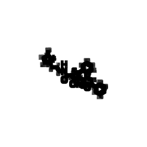 COc1c(C(=O)NCCCn2ccc(C)n2)sc2c1c(=O)n(CC(=O)c1ccccc1)c1ccccc21